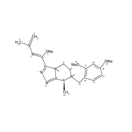 C=C(C)/N=C(\SC)c1nnc2n1CCN(Cc1ccc(OC)cc1OC)[C@H]2C